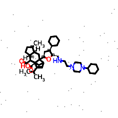 CC(C)C1=CC2CC3(C=O)[C@@H]4CC[C@@H](C)[C@H]4CC2([C@H]2C[C@@H](C4CCCCC4)[C@H](CNCCN4CCN(C5CCCCC5)CC4)O2)[C@]13C(=O)O